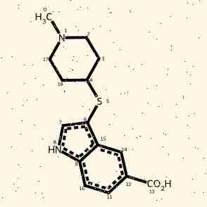 CN1CCC(Sc2c[nH]c3ccc(C(=O)O)cc23)CC1